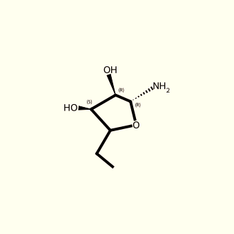 CCC1O[C@@H](N)[C@H](O)[C@@H]1O